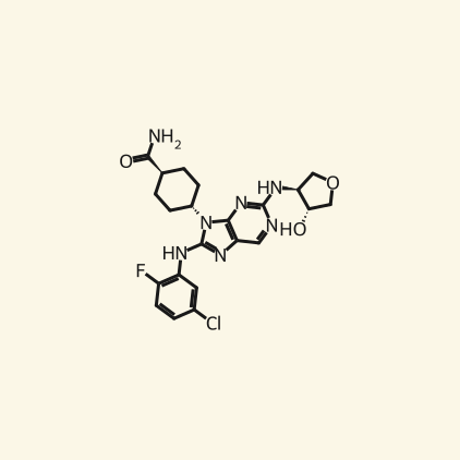 NC(=O)[C@H]1CC[C@H](n2c(Nc3cc(Cl)ccc3F)nc3cnc(N[C@H]4COC[C@@H]4O)nc32)CC1